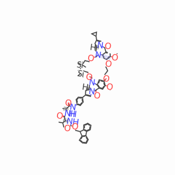 C=C1C(=O)N2C=C(C3CC3)C[C@H]2CN(COCC[Si](C)(C)C)/C1=C/C(OCCCOc1cc2c(cc1OC)C(=O)N1C=C(c3ccc(NC(=O)[C@H](C)NC(=O)[C@@H](NC(=O)OCC4c5ccccc5-c5ccccc54)C(C)C)cc3)C[C@H]1CN2COCC[Si](C)(C)C)=C(\C)OC